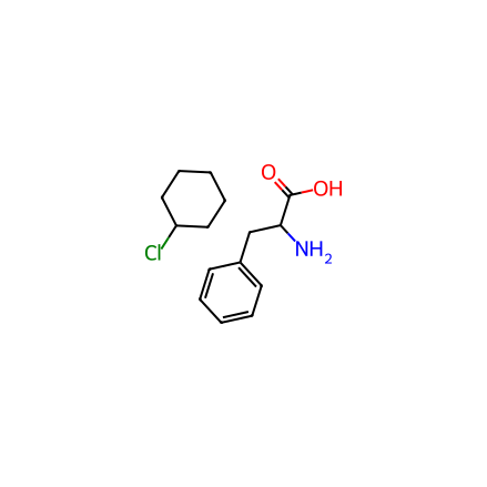 ClC1CCCCC1.NC(Cc1ccccc1)C(=O)O